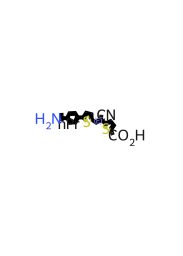 CCCC(C)(N)c1ccc(-c2ccc(/C=C(\C#N)c3ccc(C(=O)O)s3)s2)cc1